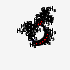 CO[C@H]1/C=C/O[C@@]2(C)Oc3c(C)c(O)c4c(O)c(c(CN5CCN(c6nc7c(cc6F)c(=O)c(C)cn7-c6ccc(F)cc6F)CC5)c(O)c4c3C2=O)NC(=O)/C(C)=C\C=C\[C@H](C)[C@H](O)[C@@H](C)[C@@H](O)[C@@H](C)[C@H](OC(C)=O)[C@@H]1C